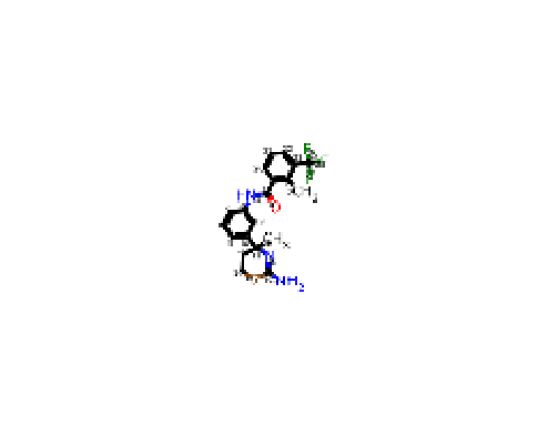 Cc1c(C(=O)Nc2cccc(C3(C)CCSC(N)=N3)c2)cccc1C(F)(F)F